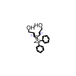 C[Si](c1ccccc1)(c1ccccc1)P(/C=C/CO)/C=C/CO